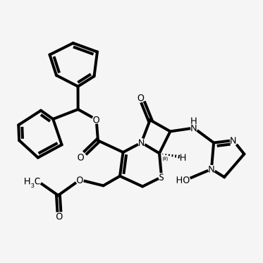 CC(=O)OCC1=C(C(=O)OC(c2ccccc2)c2ccccc2)N2C(=O)C(NC3=NCCN3O)[C@H]2SC1